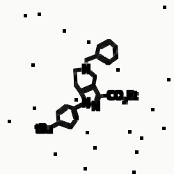 CCOC(=O)c1nn(-c2ccc(C(C)(C)C)cc2)c2c1CN(Cc1ccccc1)CC2